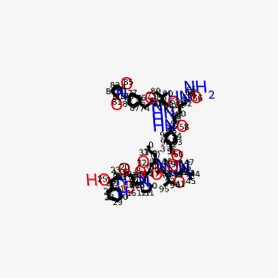 CC[C@H](C)[C@H]([C@@H](CC(=O)N1CCC[C@H]1[C@H](OC)[C@@H](C)C(=O)N[C@H](C)[C@@H](O)c1ccccc1)OC)N(C)C(=O)[C@@H](NC(=O)[C@H](C(C)C)N(C)C(=O)OCc1ccc(NC(=O)[C@H](CCCNC(N)=O)NC(=O)[C@@H](NC(=O)Cc2ccc(N3C(=O)C=CC3=O)cc2)C(C)C)cc1)C(C)C